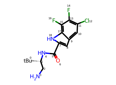 CC(C)(C)[C@@H](CN)NC(=O)c1cc2cc(Cl)c(F)c(F)c2[nH]1